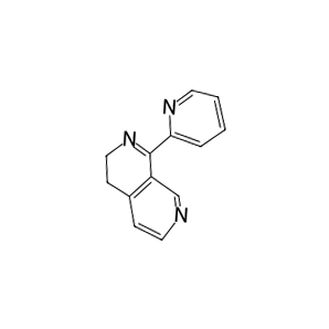 c1ccc(C2=NCCc3ccncc32)nc1